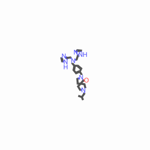 CC(C)CN1CCC2(CC1)CCN(Cc1ccc(CN(Cc3ncc[nH]3)Cc3ncc[nH]3)cc1)C2=O